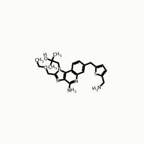 CCOCc1nc2c(N)nc3cc(Cc4ccc(CN)s4)ccc3c2n1CC(C)(C)O